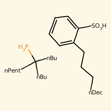 CCCCCC(P)(CCCC)CCCC.CCCCCCCCCCCCCc1ccccc1S(=O)(=O)O